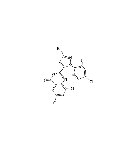 O=c1oc(-c2cc(Br)nn2-c2ncc(Cl)cc2F)nc2c(Cl)cc(Cl)cc12